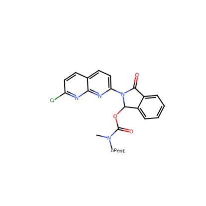 CCCCCN(C)C(=O)OC1c2ccccc2C(=O)N1c1ccc2ccc(Cl)nc2n1